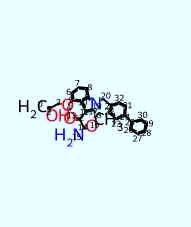 C=C(O)COc1cccc2c1c(C(=O)C(N)=O)c(C)n2Cc1ccc(-c2ccccc2)cc1